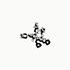 CC(C)c1nc(CN(C)C(=O)NC(CCN2CCS(=O)(=O)CC2)C(=O)NC(CCC(Cc2ccccc2)NC(=O)OCc2cncs2)Cc2ccccc2)cs1